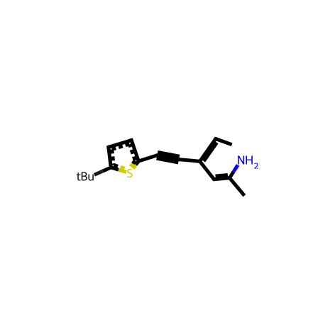 C/C=C(C#Cc1ccc(C(C)(C)C)s1)\C=C(\C)N